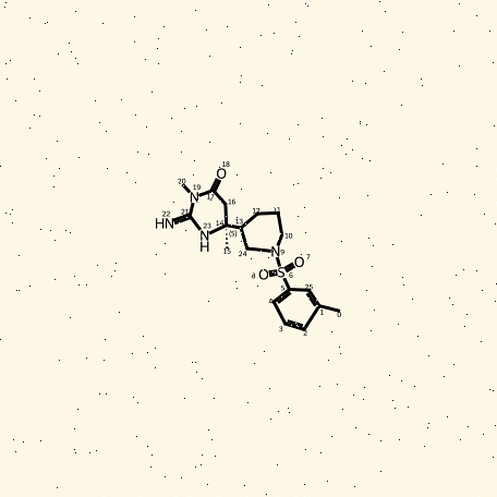 Cc1cccc(S(=O)(=O)N2CCCC([C@]3(C)CC(=O)N(C)C(=N)N3)C2)c1